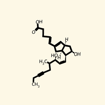 CCC#CCC(C)[C@H](O)/C=C\[C@H]1[C@H]2CC(C=CCCC(=O)O)=C[C@H]2C[C@H]1O